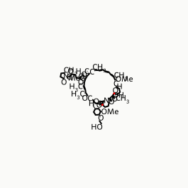 C=C1CCC(=O)N1OC(=O)CCC(=O)O[C@@H]1/C(C)=C/[C@@H](C)C(=O)C[C@@H]2OC(=O)[C@@H]3C(CCCN3C(=O)C(=O)[C@]3(O)O[C@@H](CC[C@H]3C)C[C@H](OC)/C(C)=C/C=C/C=C/C(C)C[C@@H](C)C(=O)[C@@H]1OC)[C@@H]2C[C@@H]1CC[C@@H](OCCO)[C@H](OC)C1